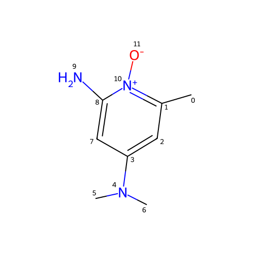 Cc1cc(N(C)C)cc(N)[n+]1[O-]